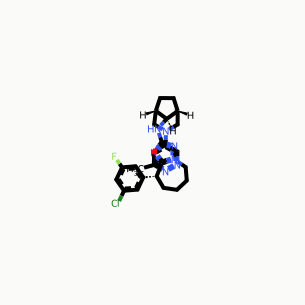 Cc1cc(N2C[C@H]3CC[C@@H](C2)[C@@H]3Nc2nc3n(n2)CCCC[C@@H]3c2cc(F)cc(Cl)c2)cnn1